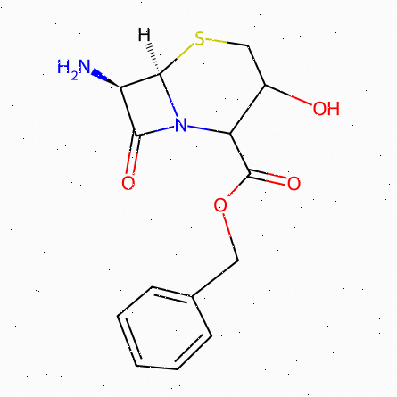 N[C@@H]1C(=O)N2C(C(=O)OCc3ccccc3)C(O)CS[C@H]12